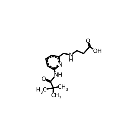 CC(C)(C)C(=O)Nc1cccc(CNCCC(=O)O)n1